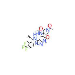 C#C[C@@H](Nc1ncnc2c1cc(C1(NC(C)=O)CCN(C(C)=O)CC1)c(=O)n2C)c1cccc(C(F)(F)F)c1C